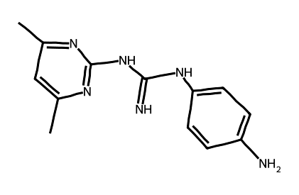 Cc1cc(C)nc(NC(=N)Nc2ccc(N)cc2)n1